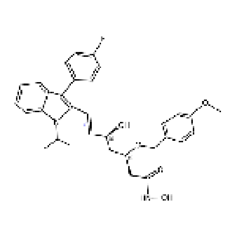 COc1ccc(CO[C@@H](CC(=O)NO)C[C@H](O)/C=C/c2c(-c3ccc(F)cc3)c3ccccc3n2C(C)C)cc1